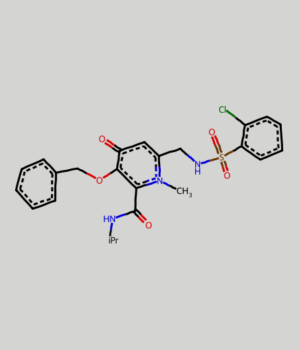 CC(C)NC(=O)c1c(OCc2ccccc2)c(=O)cc(CNS(=O)(=O)c2ccccc2Cl)n1C